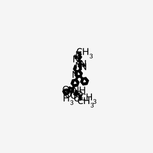 Cn1cnc(-c2nnc3c4cc(-c5ccccc5)c(-c5ccc(C6(NC(=O)OC(C)(C)C)CC7(C6)OCCO7)cc5)nc4ccn23)c1